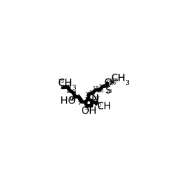 C#CC12CC(O)C(C=C[C@@H](O)CCCCC)C1CC(CCCC(=S)OCC)=N2